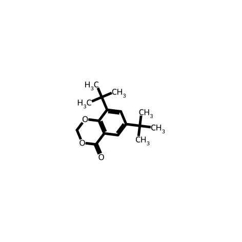 CC(C)(C)c1cc2c(c(C(C)(C)C)c1)OCOC2=O